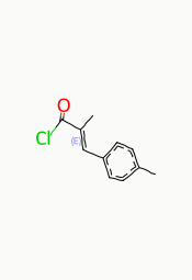 C/C(=C\c1ccc(C)cc1)C(=O)Cl